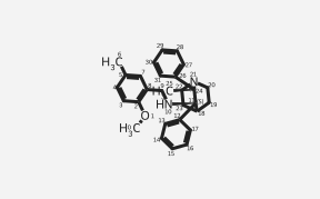 COc1ccc(C)cc1CN[C@]1(c2ccccc2)C2CCN(CC2)[C@@]1(C)c1ccccc1